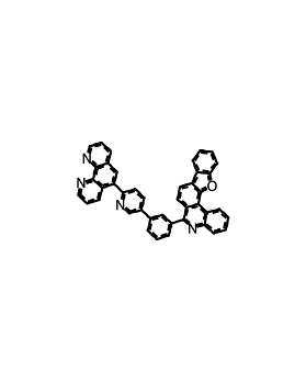 c1cc(-c2ccc(-c3cc4cccnc4c4ncccc34)nc2)cc(-c2nc3ccccc3c3c2ccc2c4ccccc4oc23)c1